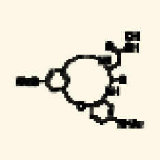 COc1cc2cc(c1)COc1ccc(NC(C)=O)cc1NC(=O)C(CC(=O)NO)NCCC2